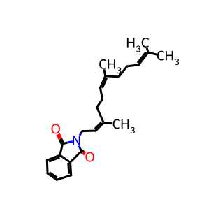 CC(C)=CCCC(C)=CCCC(C)=CCN1C(=O)c2ccccc2C1=O